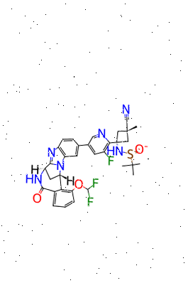 CC(C)(C)[S@+]([O-])N[C@]1(c2ncc(-c3ccc4nc5n(c4c3)[C@H]3C[C@H]5NC(=O)c4cccc(OC(F)F)c43)cc2F)C[C@](C)(C#N)C1